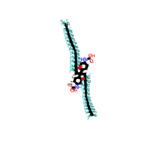 O=C(O)NC1CCC(C(CC(F)(F)C(F)(F)C(F)(F)C(F)(F)C(F)(F)C(F)(F)C(F)(F)C(F)(F)C(F)(F)C(F)(F)C(F)(F)C(F)F)(CC(F)(F)C(F)(F)C(F)(F)C(F)(F)C(F)(F)C(F)(F)C(F)(F)C(F)(F)C(F)(F)C(F)(F)C(F)(F)C(F)F)C2CCC(NC(=O)O)CC2)CC1